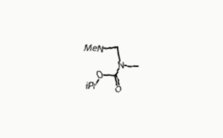 CNCN(C)C(=O)OC(C)C